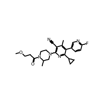 COCCC(=O)N1CCN(c2nc(C3CC3)c(-c3ccc(F)nc3)c(C)c2C#N)CC1C